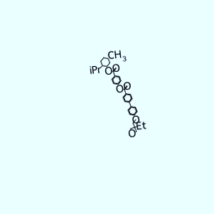 CCC1(COc2ccc(-c3ccc(C(=O)Oc4ccc(C(=O)OC5CC(C)CCC5C(C)C)cc4)cc3)cc2)COC1